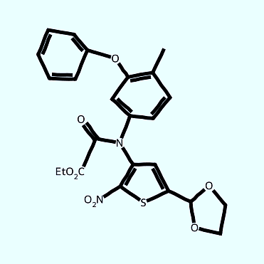 CCOC(=O)C(=O)N(c1ccc(C)c(Oc2ccccc2)c1)c1cc(C2OCCO2)sc1[N+](=O)[O-]